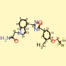 Cc1cc(-c2nc(-c3cccc4c3ccn4CC(N)=O)no2)ccc1OCC(F)(F)F